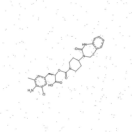 Cc1cc(C[C@@H](OC(=O)N2CCC(N3CCc4ccccc4NC3=O)CC2)C(=O)O)cc(Cl)c1N